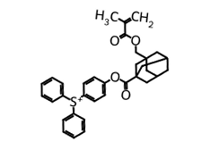 C=C(C)C(=O)OCC12CC3CC(C1)CC(C(=O)Oc1ccc([S+](c4ccccc4)c4ccccc4)cc1)(C3)C2